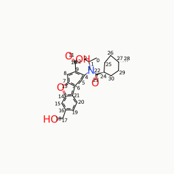 CC(C)N(c1cc2c(cc1C(=O)O)oc1cc(CO)ccc12)C(=O)[C@H]1CC[C@H](C)CC1